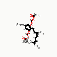 CCCCCc1cc(OCOC(=O)C(C)(C)C)c(C/C=C(\C)CCC=C(C)C)c(OCOC(=O)C(C)(C)C)c1